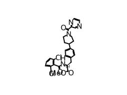 COC(=O)[C@H](Cc1ccc(C2CCN(C(=O)c3cnccn3)CC2)cc1)NC(=O)c1c(Cl)cccc1Cl